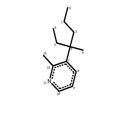 CCCC(C)(CC)c1cccnc1C